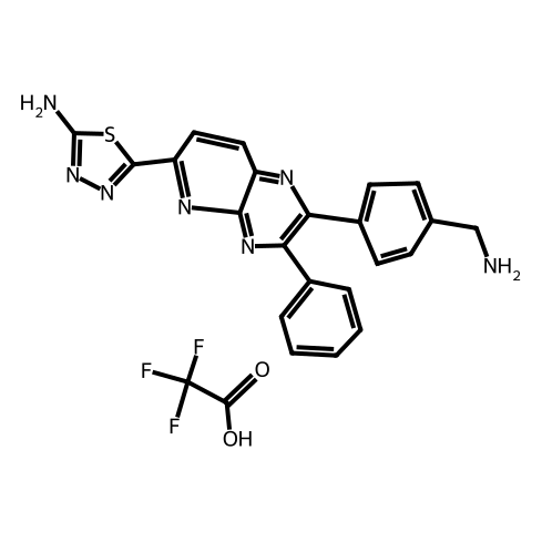 NCc1ccc(-c2nc3ccc(-c4nnc(N)s4)nc3nc2-c2ccccc2)cc1.O=C(O)C(F)(F)F